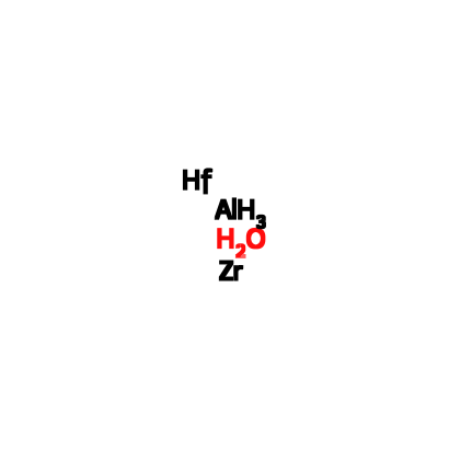 O.[AlH3].[Hf].[Zr]